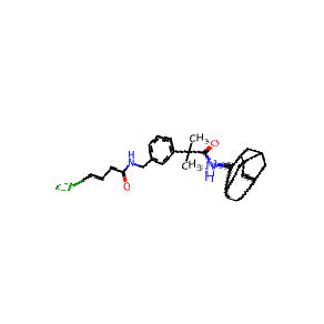 CC(C)(C(=O)NC1C2CC3CC(C2)CC1C3)c1cccc(CNC(=O)CCCCl)c1